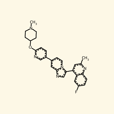 Cc1cc(-c2cnc3cc(-c4ccc(OC5CCN(C)CC5)nc4)ccn23)c2cc(F)ccc2n1